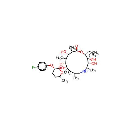 CC[C@H]1OC(=O)[C@H](C)[C@@H](O)[C@H](C)[C@@H](O[C@@H]2O[C@H](C)CC[C@H]2Oc2ccc(F)cc2)[C@](C)(O)C[C@@H](C)CN[C@H](C)[C@@H](O)[C@]1(C)O